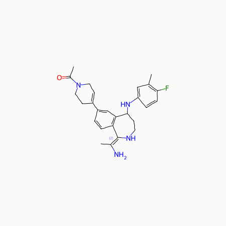 CC(=O)N1CC=C(c2ccc3c(c2)C(Nc2ccc(F)c(C)c2)CCN/C3=C(/C)N)CC1